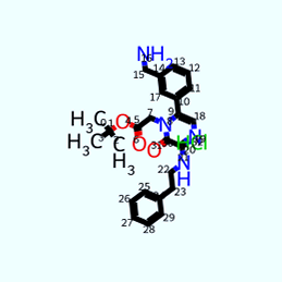 CC(C)(C)OC(=O)Cn1c(-c2cccc(CN)c2)cnc(NCCc2ccccc2)c1=O.Cl